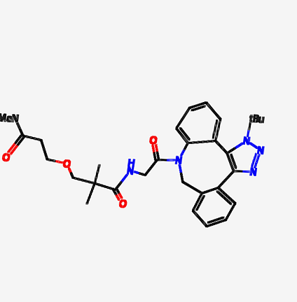 CNC(=O)CCOCC(C)(C)C(=O)NCC(=O)N1Cc2ccccc2-c2nnn(C(C)(C)C)c2-c2ccccc21